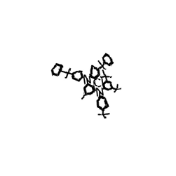 Cc1cc(N(c2ccc(C(C)(C)c3ccccc3)cc2)c2ccc(C(C)(C)c3ccccc3)cc2)c(Cl)c(N(c2ccc(C(C)(C)C)cc2)c2cc(C(C)(C)C)cc(C(C)(C)C)c2)c1